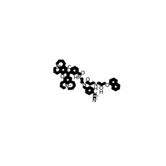 [N-]=[N+]=Nc1ccc(CN(CCNC(=O)c2ccc(C(=O)O)c(C3=c4cc5c6c(c4Oc4c3cc3c7c4CCCN7CCCC3)CCC[N+]=6CCCC5)c2)C(=O)CCNC[C@H](O)COc2cccc3ccccc23)cc1